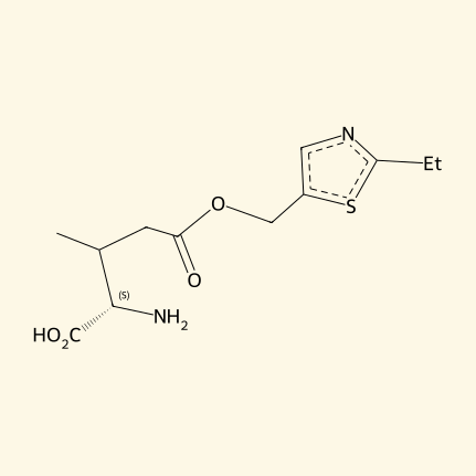 CCc1ncc(COC(=O)CC(C)[C@H](N)C(=O)O)s1